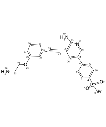 CC(C)S(=O)(=O)c1ccc(-c2cnc(N)c(C#Cc3cccc(OCCN)c3)n2)cc1